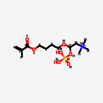 C=C(C)C(=O)OCCCCOC(C[N+](C)(C)C)OP(=O)(O)O